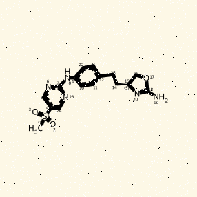 CS(=O)(=O)c1cnc(Nc2ccc(CC[C@H]3COC(N)=N3)cc2)nc1